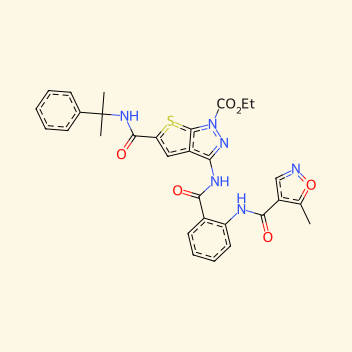 CCOC(=O)n1nc(NC(=O)c2ccccc2NC(=O)c2cnoc2C)c2cc(C(=O)NC(C)(C)c3ccccc3)sc21